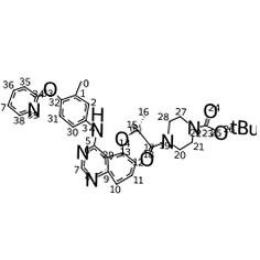 Cc1cc(Nc2ncnc3cccc(O[C@H](C)C(=O)N4CCN(C(=O)OC(C)(C)C)CC4)c23)ccc1Oc1ccccn1